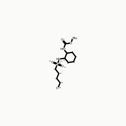 CC(C)(C)OC(=O)NC1CCCCC1NS(=O)(=O)CCCCCl